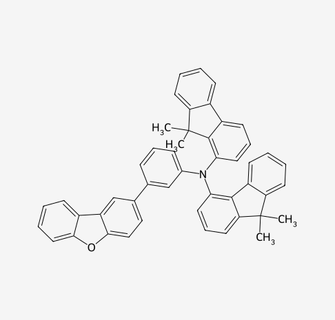 CC1(C)c2ccccc2-c2c(N(c3cccc(-c4ccc5oc6ccccc6c5c4)c3)c3cccc4c3C(C)(C)c3ccccc3-4)cccc21